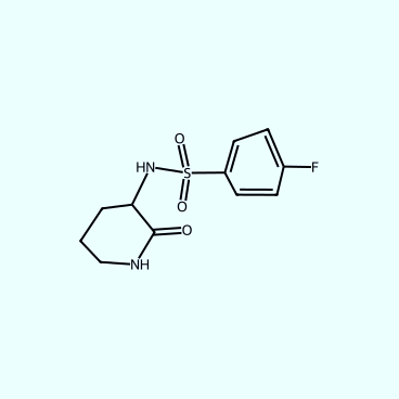 O=C1NCCCC1NS(=O)(=O)c1ccc(F)cc1